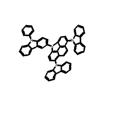 c1ccc(-n2c3ccccc3c3cc(-n4c5ccc(-n6c7ccccc7c7ccccc76)c6ccc7c(-n8c9ccccc9c9ccccc98)ccc4c7c65)ccc32)cc1